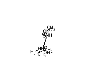 C=C(C)CC[C@H](NC(=O)CCCCCCC(=O)N[C@@H](CCC(C)=O)C(=O)O)C(=C)O